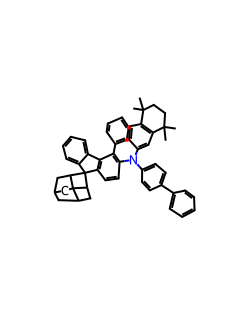 CC1(C)CCC(C)(C)c2cc(N(c3ccc(-c4ccccc4)cc3)c3ccc4c(c3-c3ccccc3)-c3ccccc3C43C4CC5CC6CC3C64C5)ccc21